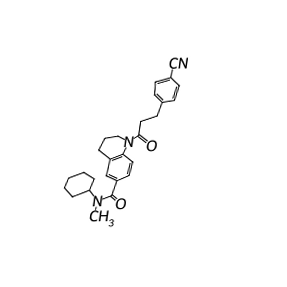 CN(C(=O)c1ccc2c(c1)CCCN2C(=O)CCc1ccc(C#N)cc1)C1CCCCC1